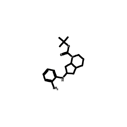 CC(C)(C)OC(=O)N1CCCC2CC(Nc3ccccc3N)CC21